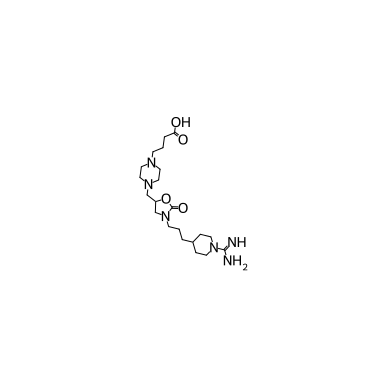 N=C(N)N1CCC(CCCN2CC(CN3CCN(CCCC(=O)O)CC3)OC2=O)CC1